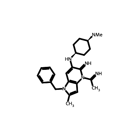 CN[C@H]1CC[C@@H](Nc2cc3c(cc(C)n3Cc3ccccc3)n(C(C)=N)c2=N)CC1